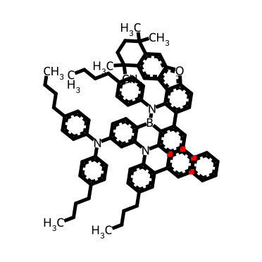 CCCCc1ccc(N2B3c4ccc(N(c5ccc(CCCC)cc5)c5ccc(CCCC)cc5)cc4N(c4ccc(CCCC)cc4-c4ccccc4)c4cc(-c5ccccc5)cc(c43)-c3ccc4oc5cc6c(cc5c4c32)C(C)(C)CCC6(C)C)cc1